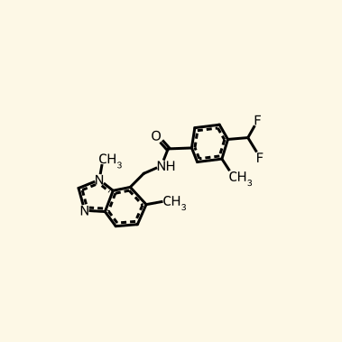 Cc1cc(C(=O)NCc2c(C)ccc3ncn(C)c23)ccc1C(F)F